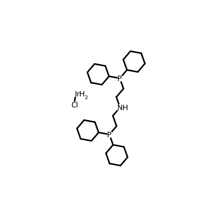 C1CCC(P(CCNCCP(C2CCCCC2)C2CCCCC2)C2CCCCC2)CC1.[Cl][IrH2]